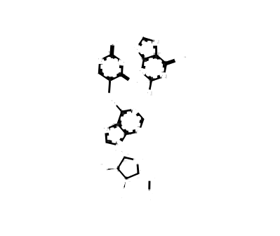 Cc1c[nH]c(=O)[nH]c1=O.Nc1nc2nc[nH]c2c(=O)[nH]1.Nc1ncnc2c1ncn2[C@@H]1O[C@H](CO)[C@@H](O)[C@H]1O